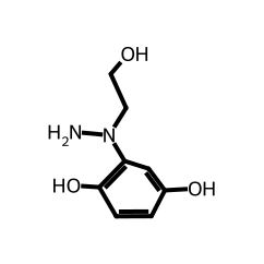 NN(CCO)c1cc(O)ccc1O